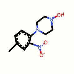 Cc1ccc(N2CCN(O)CC2)c([N+](=O)[O-])c1